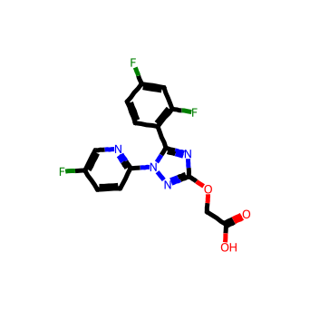 O=C(O)COc1nc(-c2ccc(F)cc2F)n(-c2ccc(F)cn2)n1